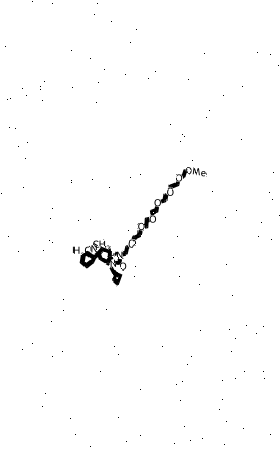 COCCOCCOCCOCCOCCOCCOCCN1C[C@]2(CC[C@](c3ccccc3)(N(C)C)CC2)N(CC2CCC2)C1=O